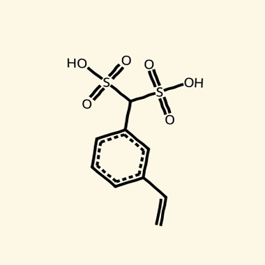 C=Cc1cccc(C(S(=O)(=O)O)S(=O)(=O)O)c1